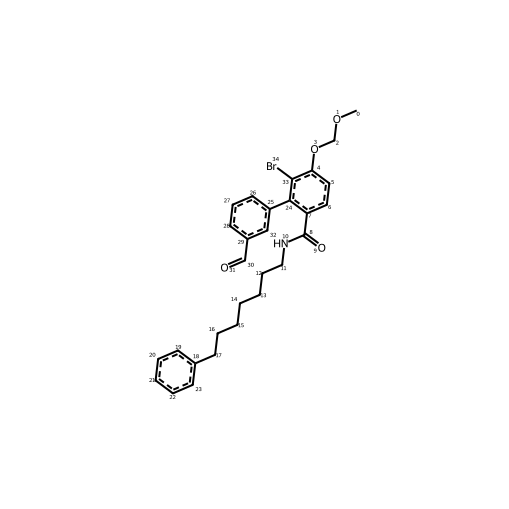 COCOc1ccc(C(=O)NCCCCCCCc2ccccc2)c(-c2cccc(C=O)c2)c1Br